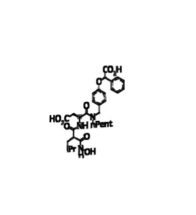 CCCCCN(Cc1ccc(OC(C(=O)O)c2ccccc2)cc1)C(=O)[C@H](CC(=O)O)NC(=O)C(CC(C)C)C(=O)NO